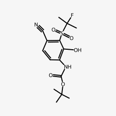 CC(C)(C)OC(=O)Nc1ccc(C#N)c(S(=O)(=O)C(C)(C)F)c1O